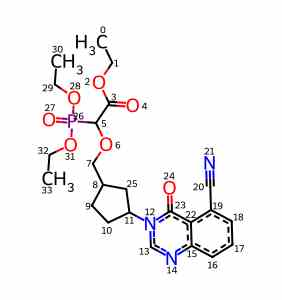 CCOC(=O)C(OCC1CCC(n2cnc3cccc(C#N)c3c2=O)C1)P(=O)(OCC)OCC